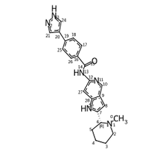 CN1CCCC[C@@H]1c1cc2cnc(NC(=O)c3ccc(-c4cn[nH]c4)cc3)cc2[nH]1